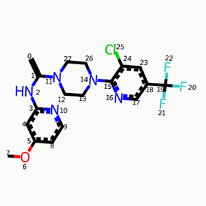 C=C(Nc1cc(OC)ccn1)N1CCN(c2ncc(C(F)(F)F)cc2Cl)CC1